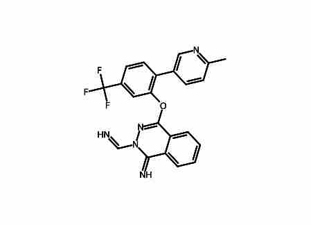 Cc1ccc(-c2ccc(C(F)(F)F)cc2Oc2nn(C=N)c(=N)c3ccccc23)cn1